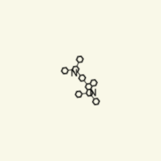 c1ccc(-c2cc(-c3ccccc3)nc(-c3ccc(-c4cc5c(-c6ccccc6)cc(-c6ccccc6)nc5c5ccccc45)cc3)c2)cc1